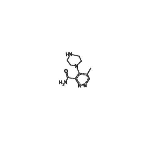 Cc1cnnc(C(N)=O)c1N1CCNCC1